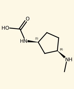 CN[C@@H]1CC[C@H](NC(=O)O)C1